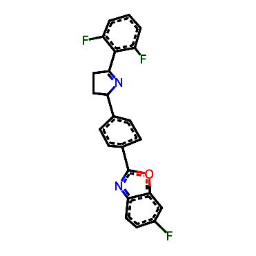 Fc1ccc2nc(-c3ccc(C4CCC(c5c(F)cccc5F)=N4)cc3)oc2c1